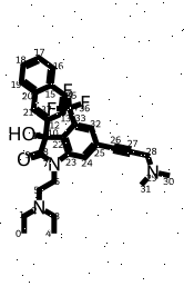 CCN(CC)CCN1C(=O)C(O)(c2ccc3ccccc3c2)c2c1cc(C#CCN(C)C)cc2C(F)(F)F